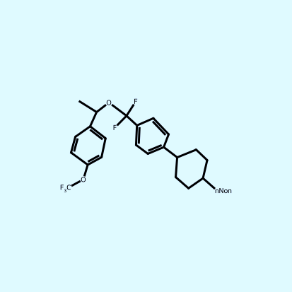 CCCCCCCCCC1CCC(c2ccc(C(F)(F)OC(C)c3ccc(OC(F)(F)F)cc3)cc2)CC1